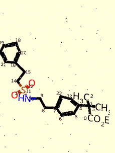 CCOC(=O)C(C)(C)c1ccc(CCNS(=O)(=O)CCc2ccccc2)cc1